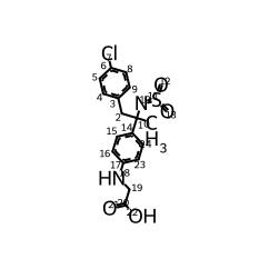 CC(Cc1ccc(Cl)cc1)(N=S(=O)=O)c1ccc(NCC(=O)O)cc1